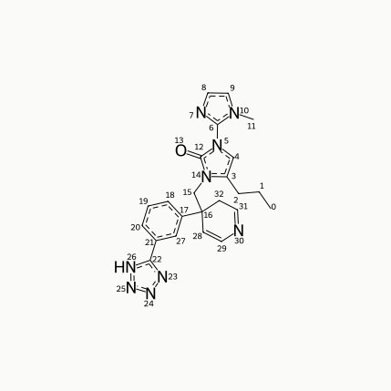 CCCc1cn(-c2nccn2C)c(=O)n1CC1(c2cccc(-c3nnn[nH]3)c2)C=CN=CC1